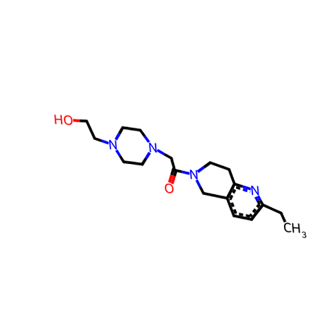 CCc1ccc2c(n1)CCN(C(=O)CN1CCN(CCO)CC1)C2